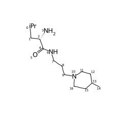 CC(C)C[C@H](N)C(=O)NCCCN1CCC(C)CC1